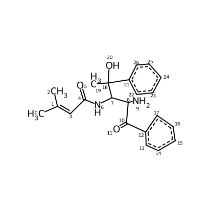 CC(C)=CC(=O)NC(C(N)C(=O)c1ccccc1)C(C)(O)c1ccccc1